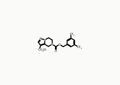 CCOC(=O)c1cnn2c1CN(C(=O)OCc1cc(C(F)(F)F)cc(C(F)(F)F)c1)CC2